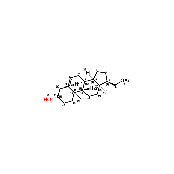 CC(=O)OC[C@@H]1CC[C@@H]2[C@@H]3CC=C4C[C@@H](O)CC[C@]4(C)[C@H]3CC[C@]12C